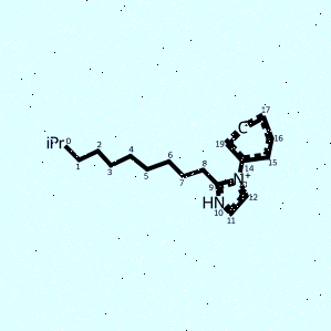 CC(C)CCCCCCCCc1[nH]cc[n+]1-c1ccccc1